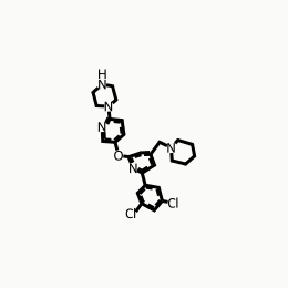 Clc1cc(Cl)cc(-c2cc(CN3CCCCC3)cc(Oc3ccc(N4CCNCC4)nc3)n2)c1